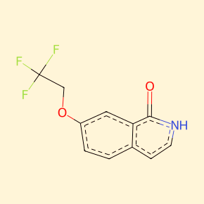 O=c1[nH]ccc2ccc(OCC(F)(F)F)cc12